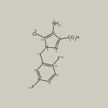 Nc1c(C(=O)O)nn(Cc2cc(F)ccc2F)c1Cl